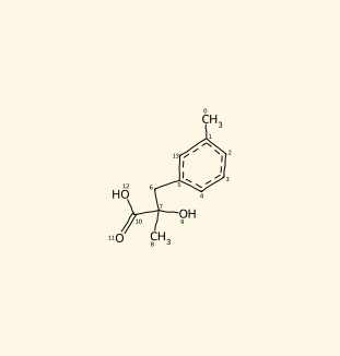 Cc1cccc(CC(C)(O)C(=O)O)c1